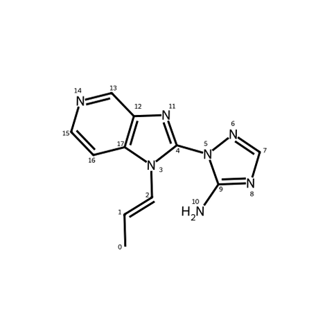 CC=Cn1c(-n2ncnc2N)nc2cnccc21